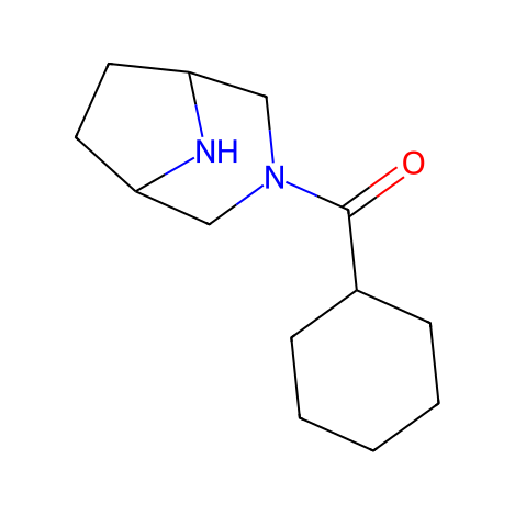 O=C(C1CCCCC1)N1CC2CCC(C1)N2